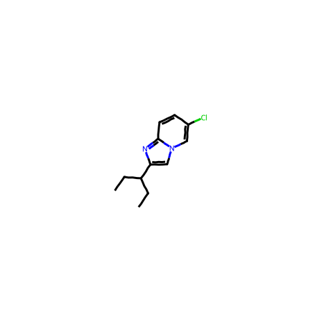 CCC(CC)c1cn2cc(Cl)ccc2n1